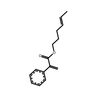 C=C(C(=O)OCCCC=CC)c1ccccc1